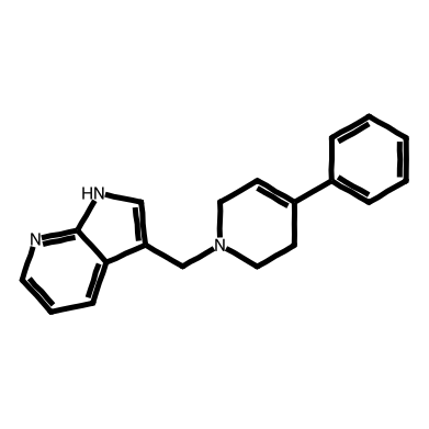 C1=C(c2ccccc2)CCN(Cc2c[nH]c3ncccc23)C1